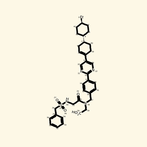 CC[C@H]1CC[C@H](C2CC=C(c3cnc(-c4ccc(CN(CC(=O)O)C(=O)CNS(=O)(=O)Cc5ccccc5)cc4)nc3)CC2)CC1